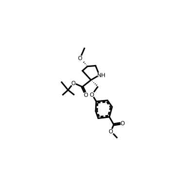 COC(=O)c1ccc(OC[C@]2(C(=O)OC(C)(C)C)C[C@H](OC)CN2)cc1